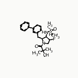 CC(C)(O)C(=O)N1CC(F)C(N[SH](C)(C)=O)C1Cc1cccc(-c2ccccc2)c1